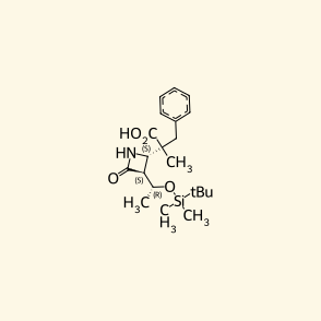 C[C@@H](O[Si](C)(C)C(C)(C)C)[C@H]1C(=O)N[C@@H]1C(C)(Cc1ccccc1)C(=O)O